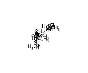 Cc1ncsc1-c1ccc(CNC(=O)[C@@H]2C[C@@H](O)CN2C(=O)[C@@H](NC(=O)CCCCCNC(=O)OC(C)(C)C)C(C)(C)C)cc1